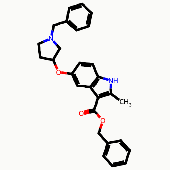 Cc1[nH]c2ccc(OC3CCN(Cc4ccccc4)C3)cc2c1C(=O)OCc1ccccc1